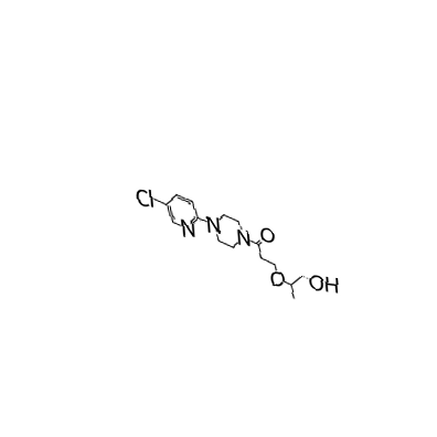 CC(CO)OCCC(=O)N1CCN(c2ccc(Cl)cn2)CC1